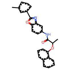 Cc1cccc(-c2nc3cc(NC(=O)C(C)Oc4cccc5ccccc45)ccc3o2)c1